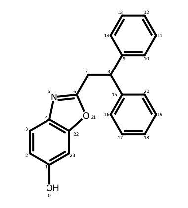 Oc1ccc2nc(CC(c3ccccc3)c3ccccc3)oc2c1